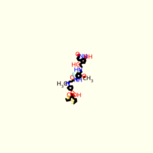 COc1cc(NC(=O)CCN(C)[C@H]2CC[C@H](OC(=O)C(O)(c3cccs3)c3cccs3)CC2)c(F)cc1CNC[C@H](O)c1ccc(O)c2[nH]c(=O)ccc12